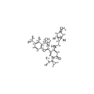 C[C@@H](NC(=O)c1cn(C2(C(F)F)CC2)c(=O)cc1NCC1[C@H]2CN(C)C[C@@H]12)c1cccc(C(F)F)c1F